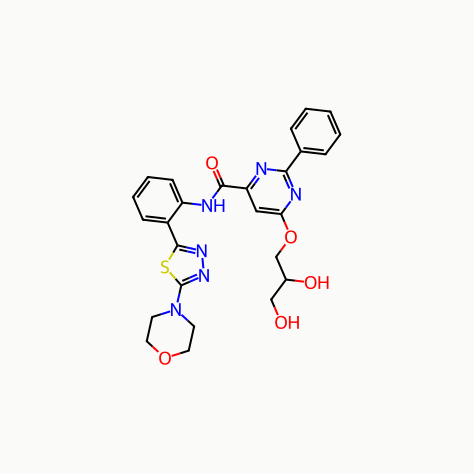 O=C(Nc1ccccc1-c1nnc(N2CCOCC2)s1)c1cc(OCC(O)CO)nc(-c2ccccc2)n1